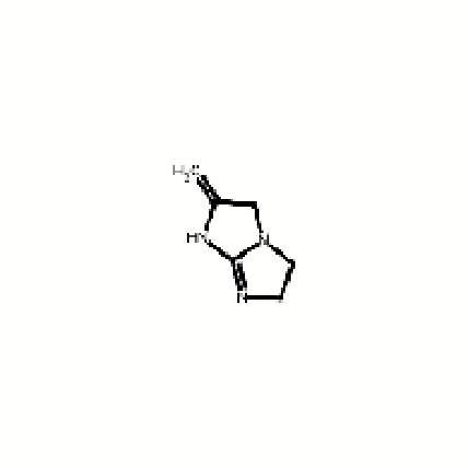 C=C1CN2CCN=C2N1